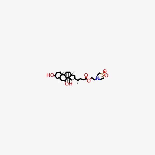 C[C@@H](CCC(=O)OCCN1CCS(=O)(=O)CC1)[C@@H]1C[C@@H]2[C@@H]3C(CC[C@@]2(C)C1)[C@]1(C)CC[C@H](O)C[C@]1(C)C[C@@H]3O